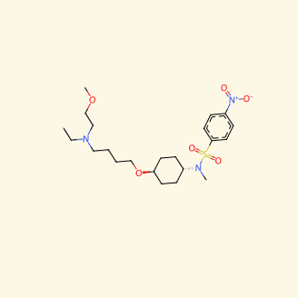 CCN(CCCCO[C@H]1CC[C@H](N(C)S(=O)(=O)c2ccc([N+](=O)[O-])cc2)CC1)CCOC